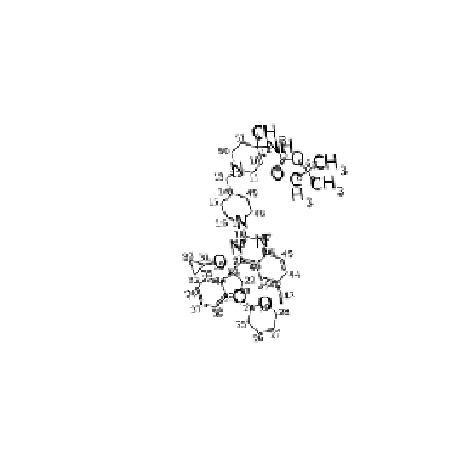 CC1(NC(=O)OC(C)(C)C)CCN(CC2CCN(c3nc(C(COC4CCCCO4)(OC4CC4)c4ccccc4)c4cc(I)ccc4n3)CC2)CC1